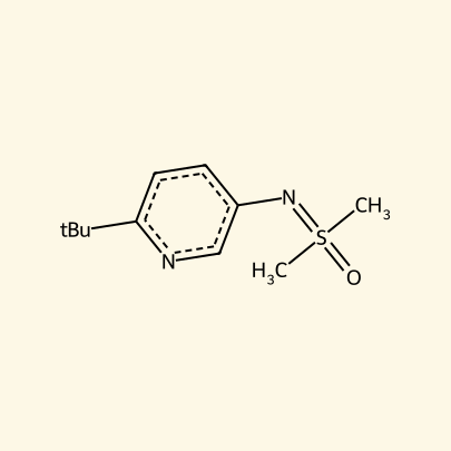 CC(C)(C)c1ccc(N=S(C)(C)=O)cn1